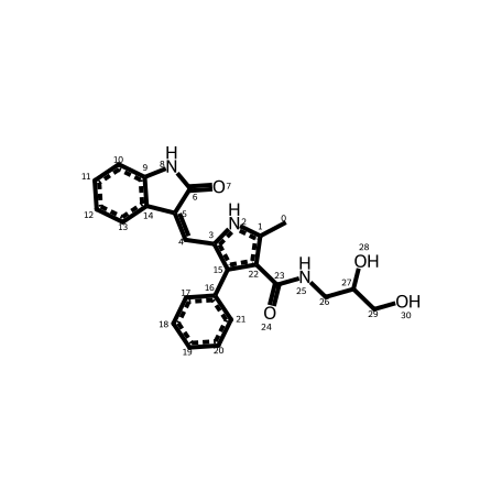 Cc1[nH]c(C=C2C(=O)Nc3ccccc32)c(-c2ccccc2)c1C(=O)NCC(O)CO